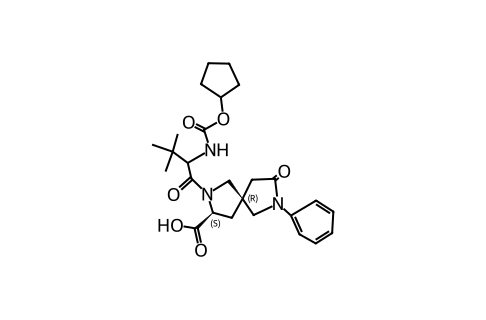 CC(C)(C)C(NC(=O)OC1CCCC1)C(=O)N1C[C@]2(CC(=O)N(c3ccccc3)C2)C[C@H]1C(=O)O